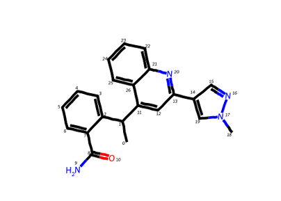 CC(c1ccccc1C(N)=O)c1cc(-c2cnn(C)c2)nc2ccccc12